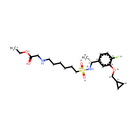 CCOC(=O)CNCCCCCCS(=O)(=O)N[C@H](C)c1ccc(F)c(OCC2CC2)c1